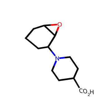 O=C(O)C1CCN(C2CCCC3OC32)CC1